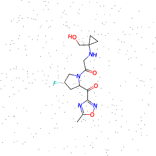 Cc1nc(C(=O)C2C[C@H](F)CN2C(=O)CNC2(CO)CC2)no1